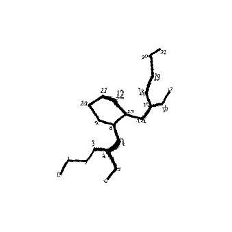 CCCCC(CC)CC1CCCCC1CC(CC)CCCC